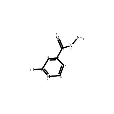 NNC(=O)c1ccnc(I)c1